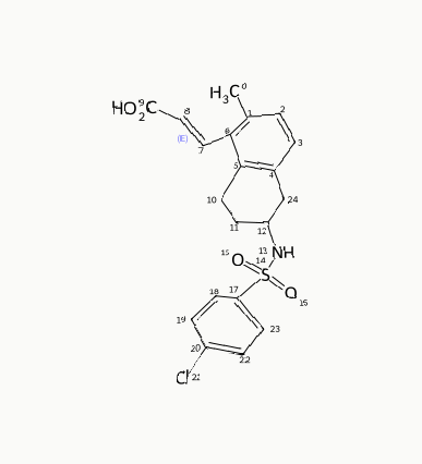 Cc1ccc2c(c1/C=C/C(=O)O)CCC(NS(=O)(=O)c1ccc(Cl)cc1)C2